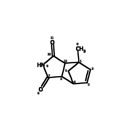 CC12C=CC(C1)C1C(=O)NC(=O)C12